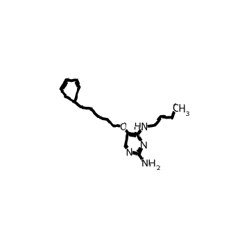 CCCCNc1nc(N)ncc1OCCCCCC1C=CC=CC1